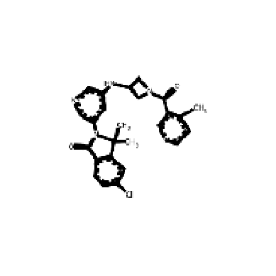 Cc1ccncc1C(=O)N1CC(Nc2cncc(N3C(=O)c4ccc(Cl)cc4C3(C)C)c2)C1